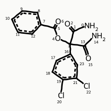 NC(=O)C(OC(=O)c1ccccc1)(C(N)=O)c1ccc(Cl)c(Cl)c1